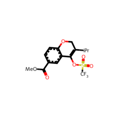 COC(=O)c1ccc2c(c1)C(OS(=O)(=O)C(F)(F)F)=C(C(C)C)CO2